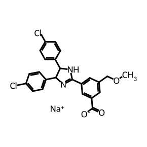 COCc1cc(C(=O)[O-])cc(C2=NC(c3ccc(Cl)cc3)C(c3ccc(Cl)cc3)N2)c1.[Na+]